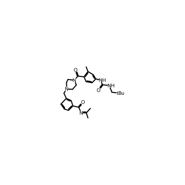 CC(C)=NC(=O)c1cccc(CN2CCN(C(=O)c3ccc(NC(=O)NCC(C)(C)C)cc3C)CC2)c1